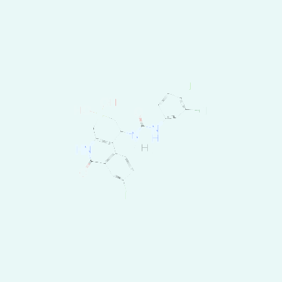 CN(C(=O)Nc1ccc(F)c(Cl)c1)C1CS(O)(O)Cc2[nH]c(=O)c3cc(F)ccc3c21